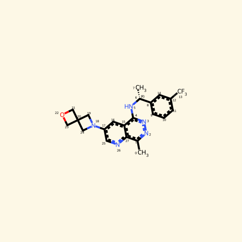 Cc1nnc(N[C@H](C)c2cccc(C(F)(F)F)c2)c2cc(N3CC4(COC4)C3)cnc12